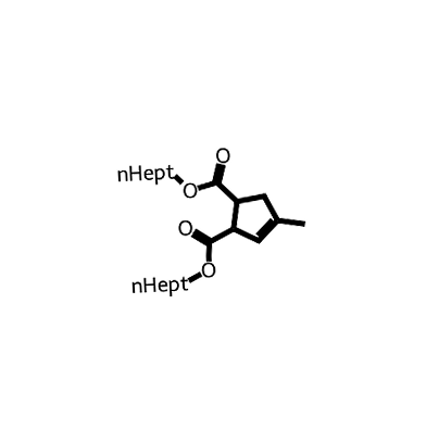 CCCCCCCOC(=O)C1C=C(C)CC1C(=O)OCCCCCCC